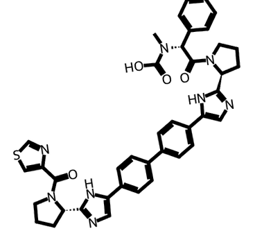 CN(C(=O)O)[C@@H](C(=O)N1CCC[C@H]1c1ncc(-c2ccc(-c3ccc(-c4cnc([C@@H]5CCCN5C(=O)c5cscn5)[nH]4)cc3)cc2)[nH]1)c1ccccc1